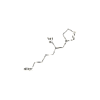 CCCCCCCCCCCC(O)CN1C=NCC1.[NaH]